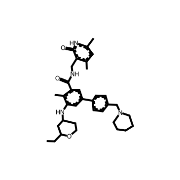 CCC1CC(Nc2cc(-c3ccc(CN4CCCCC4)cc3)cc(C(=O)NCc3c(C)cc(C)[nH]c3=O)c2C)CCO1